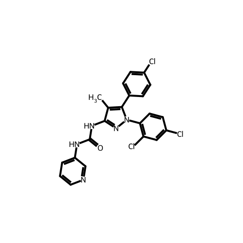 Cc1c(NC(=O)Nc2cccnc2)nn(-c2ccc(Cl)cc2Cl)c1-c1ccc(Cl)cc1